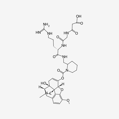 COc1ccc2c3c1O[C@H]1C(OC(=O)N4CCCCC4CNC(=O)[C@H](CCCNC(=N)N)NC(=O)CNC(=O)CC(=O)O)=CC[C@@]4(O)[C@@H](C2)N(C)CC[C@]314